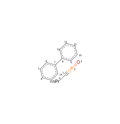 CCCC#P=O.c1ccc(-c2ccccc2)cc1